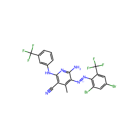 Cc1c(C#N)c(Nc2cccc(C(F)(F)F)c2)nc(N)c1/N=N/c1c(Br)cc(Br)cc1C(F)(F)F